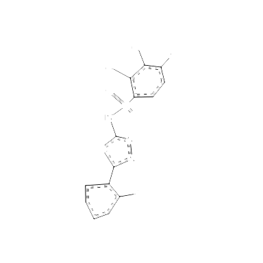 O=S(=O)(Nc1nnc(-c2ccccc2Cl)s1)c1ccc(Cl)c(Cl)c1Cl